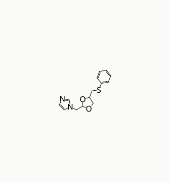 c1ccc(SCC2COC(Cn3ccnc3)O2)cc1